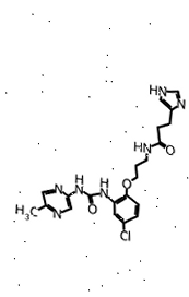 Cc1cnc(NC(=O)Nc2cc(Cl)ccc2OCCCNC(=O)CCc2c[nH]cn2)cn1